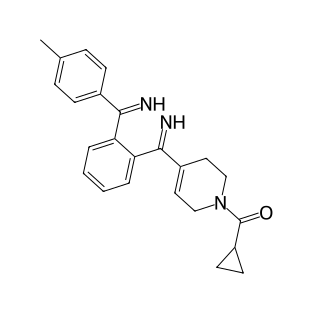 Cc1ccc(C(=N)c2ccccc2C(=N)C2=CCN(C(=O)C3CC3)CC2)cc1